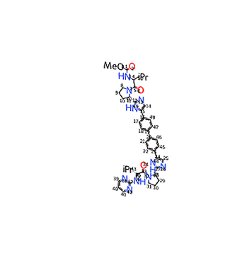 COC(=O)NC(C(=O)N1CCC[C@H]1c1ncc(-c2ccc(-c3ccc(-c4cnc([C@@H]5CCCN5C(=O)[C@H](Nc5ncccn5)C(C)C)[nH]4)cc3)cc2)[nH]1)C(C)C